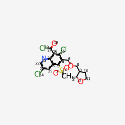 CS(=O)(=O)c1c(COCC2CCOC2)c(Cl)c(C(=O)Cl)c2ncc(Cl)cc12